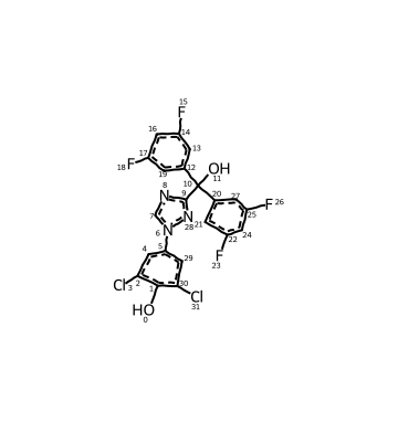 Oc1c(Cl)cc(-n2cnc(C(O)(c3cc(F)cc(F)c3)c3cc(F)cc(F)c3)n2)cc1Cl